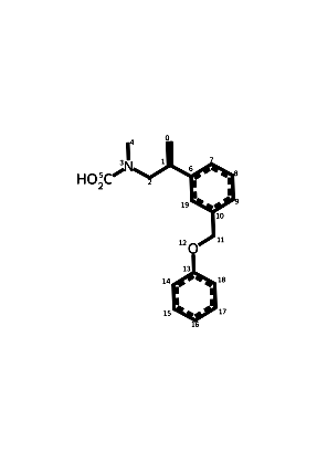 C=C(CN(C)C(=O)O)c1cccc(COc2ccccc2)c1